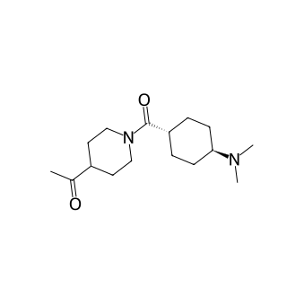 CC(=O)C1CCN(C(=O)[C@H]2CC[C@H](N(C)C)CC2)CC1